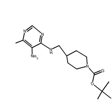 Cc1ncnc(NCC2CCN(C(=O)OC(C)(C)C)CC2)c1N